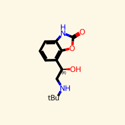 CC(C)(C)NC[C@H](O)c1cccc2[nH]c(=O)oc12